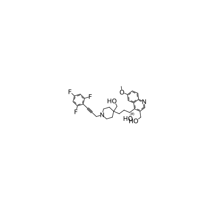 COc1ccc2ncc(CO)c([C@H](O)CCC3(CO)CCN(CC#Cc4c(F)cc(F)cc4F)CC3)c2c1